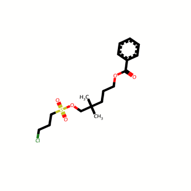 CC(C)(CCCOC(=O)c1ccccc1)COS(=O)(=O)CCCCl